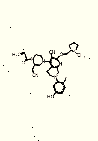 C=CC(=O)N1CCN(c2c(C#N)c(OCC3CCCN3C)nc3c2CCN(c2cc(O)ccc2F)C3)CC1CC#N